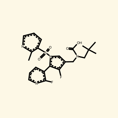 Cc1ncccc1S(=O)(=O)n1cc(CN(CC(C)(C)C)C(=O)O)c(F)c1-c1cccnc1F